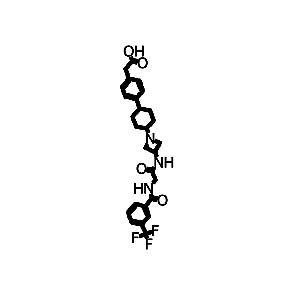 O=C(O)Cc1ccc(C2CCC(N3CC(NC(=O)CNC(=O)c4cccc(C(F)(F)F)c4)C3)CC2)cc1